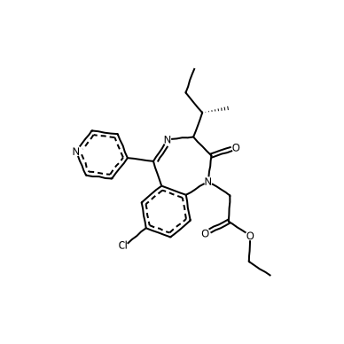 CCOC(=O)CN1C(=O)C([C@@H](C)CC)N=C(c2ccncc2)c2cc(Cl)ccc21